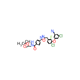 CC1(C)OCC(CNC(=O)c2ccc(-c3nnc(Cc4ccc(Cl)c(Oc5cc(Cl)cc(C#N)c5)c4F)o3)cc2)O1